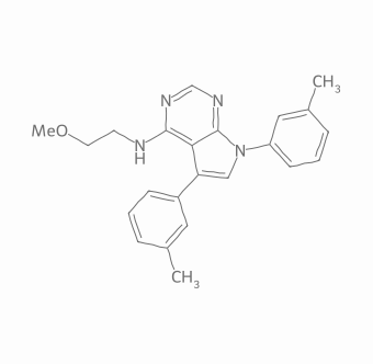 COCCNc1ncnc2c1c(-c1cccc(C)c1)cn2-c1cccc(C)c1